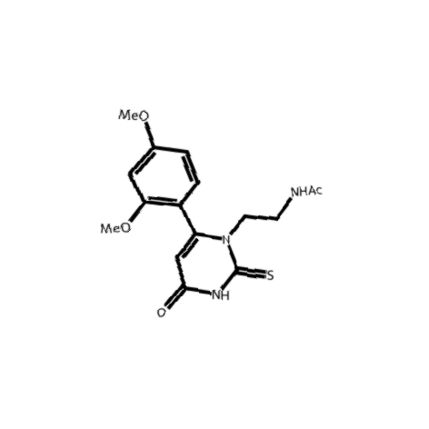 COc1ccc(-c2cc(=O)[nH]c(=S)n2CCNC(C)=O)c(OC)c1